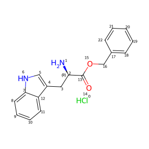 Cl.N[C@H](Cc1c[nH]c2ccccc12)C(=O)OCc1ccccc1